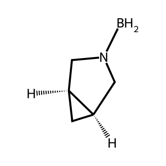 BN1C[C@H]2C[C@H]2C1